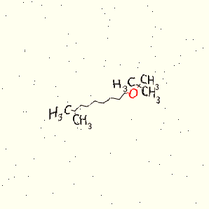 CC(C)CCCCCCCOC(C)(C)C